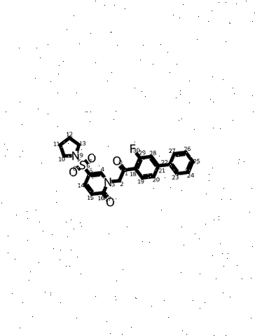 O=C(Cn1cc(S(=O)(=O)N2CCCC2)ccc1=O)c1ccc(-c2ccccc2)cc1F